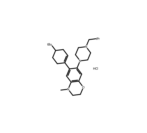 CC(C)CN1CCN(c2cc3c(cc2C2=CCC(C(C)(C)C)CC2)N(C)CCO3)CC1.Cl